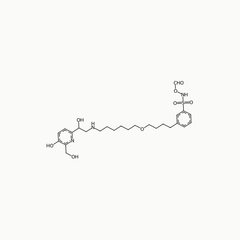 O=CONS(=O)(=O)c1cccc(CCCCOCCCCCCNCC(O)c2ccc(O)c(CO)n2)c1